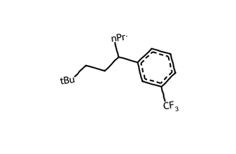 CC[CH]C(CCC(C)(C)C)c1cccc(C(F)(F)F)c1